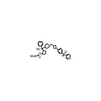 CNC(=O)O[C@@H]1CCCC1[C@@](C#N)(c1ccccc1)C1CCN(CC2CN(c3ccc(S(=O)(=O)c4ccncc4)cc3)C2)CC1